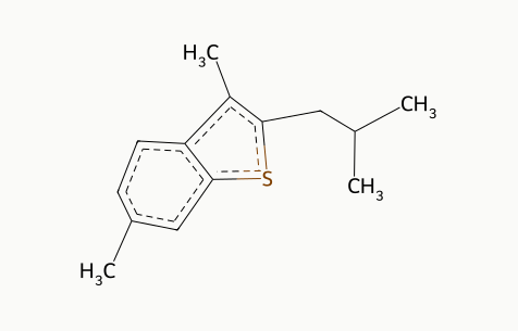 Cc1ccc2c(C)c(CC(C)C)sc2c1